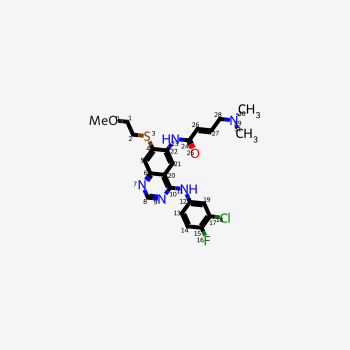 COCCSc1cc2ncnc(Nc3ccc(F)c(Cl)c3)c2cc1NC(=O)/C=C/CN(C)C